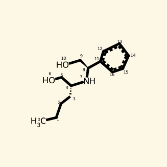 CCCC[C@H](CO)N[C@@H](CO)c1ccccc1